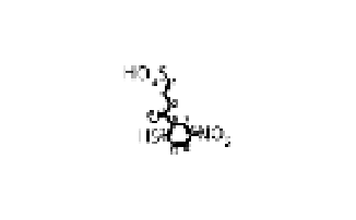 O=C(CCCS(=O)(=O)O)c1cc([N+](=O)[O-])ccc1S